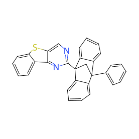 c1ccc(C23CC(c4ncc5sc6ccccc6c5n4)(c4ccccc42)c2ccccc23)cc1